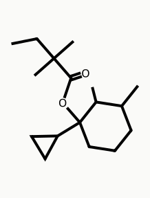 CCC(C)(C)C(=O)OC1(C2CC2)CCCC(C)C1C